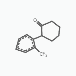 O=C1CCCCC1c1ccccc1C(F)(F)F